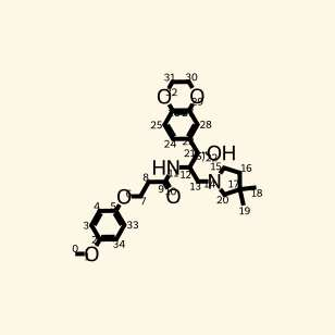 COc1ccc(OCCC(=O)NC(CN2CCC(C)(C)C2)[C@@H](O)c2ccc3c(c2)OCCO3)cc1